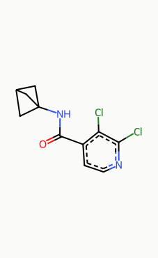 O=C(NC12CC(C1)C2)c1ccnc(Cl)c1Cl